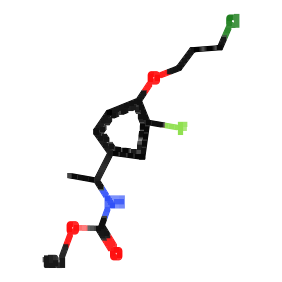 CC(NC(=O)OC(C)(C)C)c1ccc(OCCCCl)c(F)c1